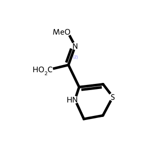 CO/N=C(\C(=O)O)C1=CSCCN1